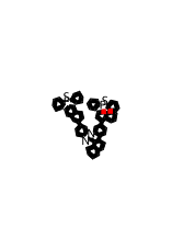 S=P(c1ccccc1)(c1ccccc1)c1ccc2cc(-c3ccc4nc5c6c7ccccc7ccc6c6ccc(-c7ccc(P(=S)(c8ccccc8)c8ccccc8)c8ccccc78)cc6n5c4c3)ccc2c1